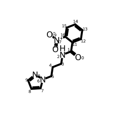 O=C(NCCCn1cccn1)c1ccccc1[N+](=O)[O-]